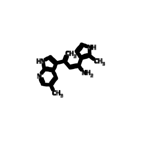 C=C(/C=C(/N)c1cc[nH]c1C)c1c[nH]c2ncc(C)cc12